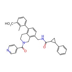 Cc1c(C(=O)O)cccc1-c1ccc(CNC(=O)C2CC2c2ccccc2)c2c1CCN(C(=O)c1ccncc1)C2